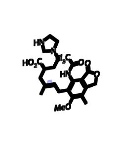 COc1c(C)c2c(c(NC(=O)C(Cl)(Cl)Cl)c1C/C=C(\C)CC(CCN1CCNC1)C(=O)O)C(=O)OC2